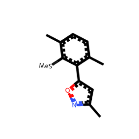 CSc1c(C)ccc(C)c1-c1cc(C)no1